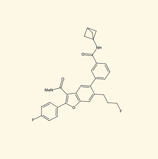 CNC(=O)c1c(-c2ccc(F)cc2)oc2cc(CCCF)c(-c3cccc(C(=O)NC45CC(C4)C5)c3)cc12